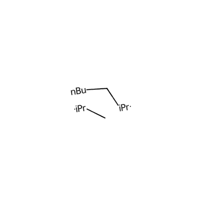 CCCCC[C](C)C.C[C](C)C